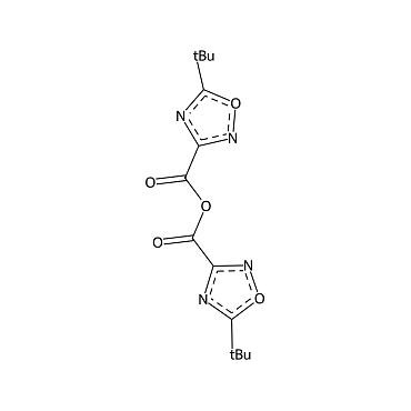 CC(C)(C)c1nc(C(=O)OC(=O)c2noc(C(C)(C)C)n2)no1